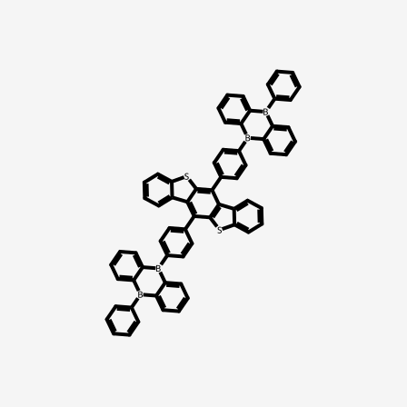 c1ccc(B2c3ccccc3B(c3ccc(-c4c5sc6ccccc6c5c(-c5ccc(B6c7ccccc7B(c7ccccc7)c7ccccc76)cc5)c5sc6ccccc6c45)cc3)c3ccccc32)cc1